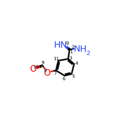 N=C(N)c1cccc(OC=O)c1